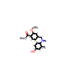 CCCCOc1cc(CN(C)c2ccc(O)cc2C)ccc1C(=O)OC